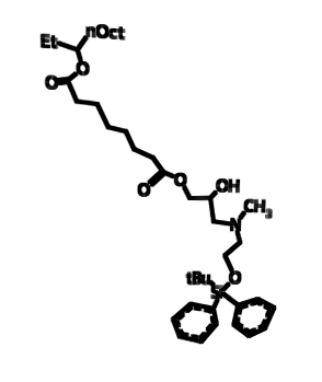 CCCCCCCCC(CC)OC(=O)CCCCCCC(=O)OCC(O)CN(C)CCO[Si](c1ccccc1)(c1ccccc1)C(C)(C)C